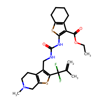 C=C(C)C(F)(F)c1sc2c(c1CNC(=O)Nc1sc3c(c1C(=O)OCC)CCCC3)CCN(C)C2